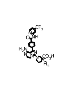 C[C@@]1(C(=O)O)CCCN(c2nc(-c3ccc(C(=O)Nc4cc(C(F)(F)F)ccn4)cc3)c3c(N)nccn23)C1